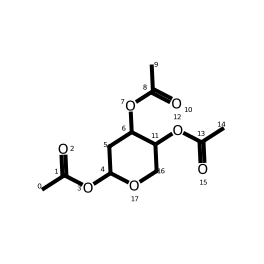 CC(=O)OC1CC(OC(C)=O)C(OC(C)=O)CO1